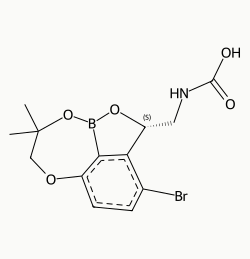 CC1(C)COc2ccc(Br)c3c2B(O[C@@H]3CNC(=O)O)O1